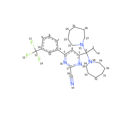 CCC(c1cc(-c2cccc(C(F)(F)F)c2)nc(C#N)n1)(N1CCCCCC1)N1CCCCCC1